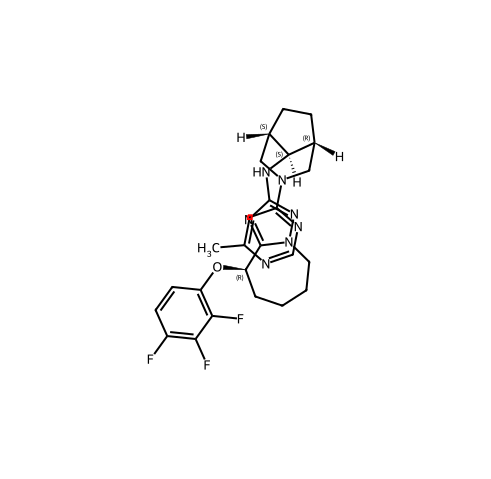 Cc1cc(N2C[C@H]3CC[C@@H](C2)[C@@H]3Nc2nc3n(n2)CCCC[C@H]3Oc2ccc(F)c(F)c2F)ncn1